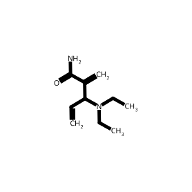 C=CC(C(=C)C(N)=O)N(CC)CC